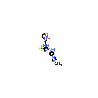 CN1CCN(c2ccc(Nc3cc(NCCCN4CCCCOC4=O)c(C(F)(F)F)cn3)cc2)CC1